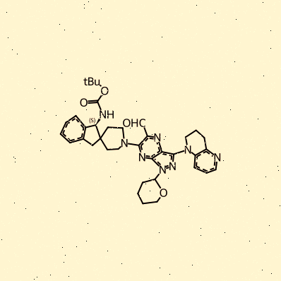 CC(C)(C)OC(=O)N[C@@H]1c2ccccc2CC12CCN(c1nc3c(nc1C=O)c(N1CCCc4ncccc41)nn3C1CCCCO1)CC2